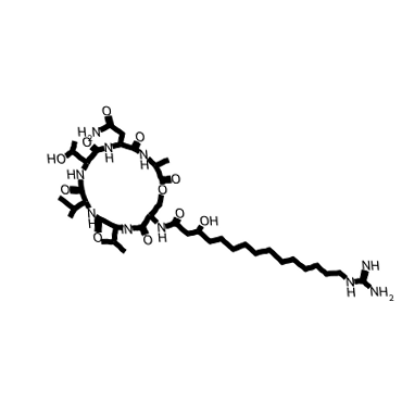 CC1NC(=O)C(CC(N)=O)NC(=O)C(C(C)O)NC(=O)C(C(C)C)NC(=O)C(C(C)C)NC(=O)C(NC(=O)CC(O)CCCCCCCCCCCCNC(=N)N)COC1=O